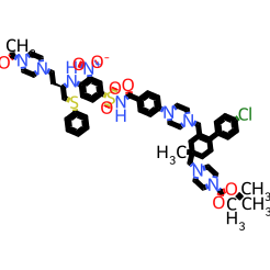 CC(=O)N1CCN(CC[C@H](CSc2ccccc2)Nc2ccc(S(=O)(=O)NC(=O)c3ccc(N4CCN(CC5=C(c6ccc(Cl)cc6)CCC(C)(CN6CCN(C(=O)OC(C)(C)C)CC6)C5)CC4)cc3)cc2[N+](=O)[O-])CC1